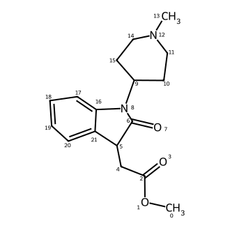 COC(=O)CC1C(=O)N(C2CCN(C)CC2)c2ccccc21